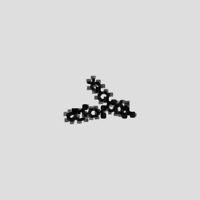 Cc1cc(C[C@@H](OC(=O)N2CCC(N3CCc4ccccc4NC3=O)CC2)C(=O)N2CCC(N3CCC(C)(C)CC3)CC2)cc2oc(=O)[nH]c12